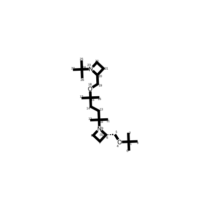 CC(C)(C)OC[C@@H]1CCN1C(C)(C)CCC(C)(C)OCC1CCN1C(C)(C)C